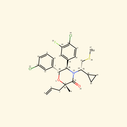 C=CC[C@]1(C)O[C@H](c2cccc(Cl)c2)[C@@H](c2ccc(Cl)c(F)c2)N([C@H](CSC(C)(C)C)C2CC2)C1=O